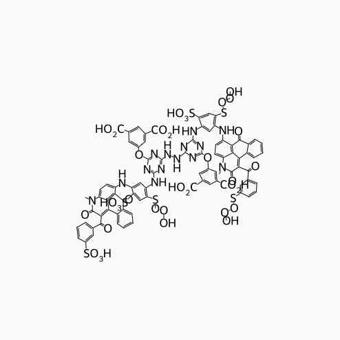 Cn1c(=O)c(C(=O)c2cccc(SOOO)c2)c2c3c(c(Nc4cc(Nc5nc(NNc6nc(Nc7cc(Nc8ccc9c%10c8C(=O)c8ccccc8-c%10c(C(=O)c8cccc(S(=O)(=O)O)c8)c(=O)n9C)c(S(=O)(=O)O)cc7SOOO)nc(Oc7cc(C(=O)O)cc(C(=O)O)c7)n6)nc(Oc6cc(C(=O)O)cc(C(=O)O)c6)n5)c(S(=O)(=O)O)cc4SOOO)ccc31)C(=O)c1ccccc1-2